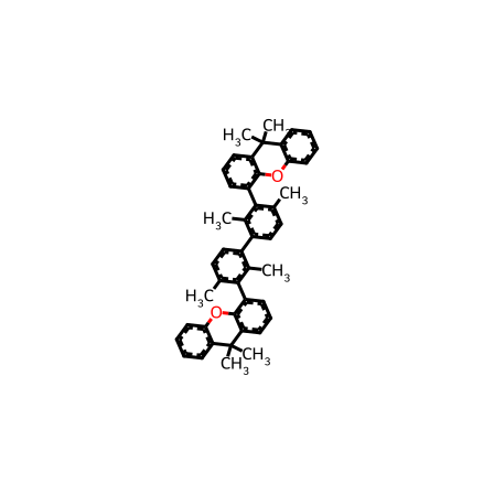 Cc1ccc(-c2ccc(C)c(-c3cccc4c3Oc3ccccc3C4(C)C)c2C)c(C)c1-c1cccc2c1Oc1ccccc1C2(C)C